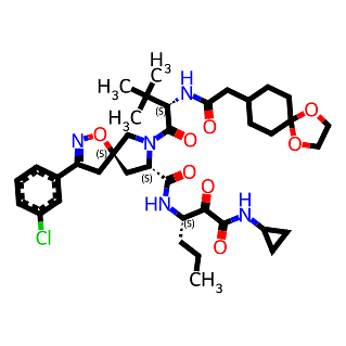 CCC[C@H](NC(=O)[C@@H]1C[C@]2(CC(c3cccc(Cl)c3)=NO2)CN1C(=O)[C@@H](NC(=O)CC1CCC2(CC1)OCCO2)C(C)(C)C)C(=O)C(=O)NC1CC1